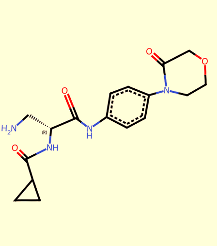 NC[C@@H](NC(=O)C1CC1)C(=O)Nc1ccc(N2CCOCC2=O)cc1